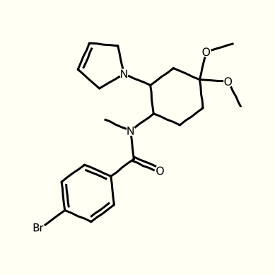 COC1(OC)CCC(N(C)C(=O)c2ccc(Br)cc2)C(N2CC=CC2)C1